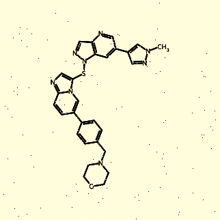 Cn1cc(-c2cnc3cnn(Sc4cnc5ccc(-c6ccc(CN7CCOCC7)cc6)cn45)c3c2)cn1